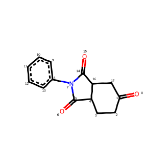 O=C1CCC2C(=O)N(c3ccccc3)C(=O)C2C1